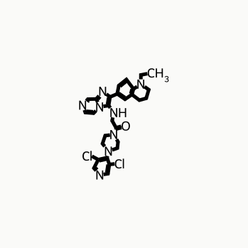 CCN1CCCc2cc(-c3nc4cnccn4c3NCC(=O)N3CCN(c4c(Cl)cncc4Cl)CC3)ccc21